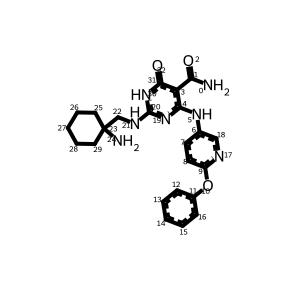 NC(=O)c1c(Nc2ccc(Oc3ccccc3)nc2)nc(NCC2(N)CCCCC2)[nH]c1=O